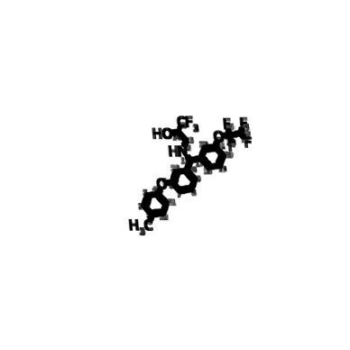 Cc1ccc(Oc2cccc(C(NC[C@@H](O)C(F)(F)F)c3cccc(OC(F)(F)C(F)F)c3)c2)cc1